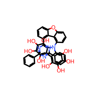 Oc1c(O)c(O)c2c(c1O)c1c(O)c(O)c(O)c(O)c1n2-c1cccc2oc3cccc(-c4nc(-c5ccccc5)nc(C5C=CC=CC5)n4)c3c12